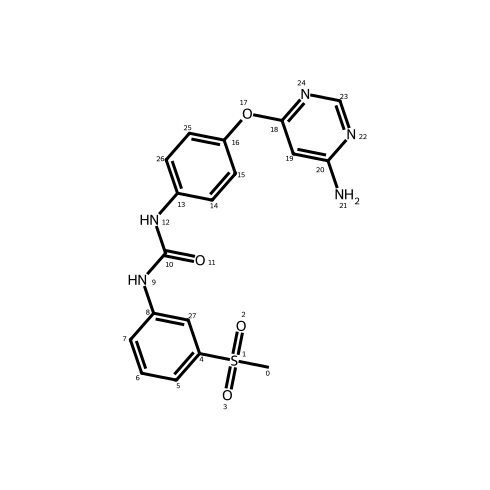 CS(=O)(=O)c1cccc(NC(=O)Nc2ccc(Oc3cc(N)ncn3)cc2)c1